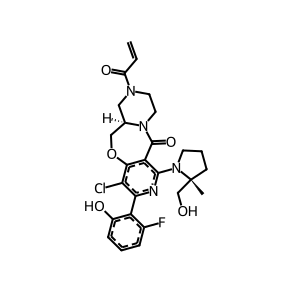 C=CC(=O)N1CCN2C(=O)c3c(N4CCC[C@]4(C)CO)nc(-c4c(O)cccc4F)c(Cl)c3OC[C@H]2C1